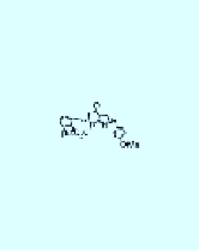 CCOC(=O)Cn1c(CCc2cccc(F)c2F)cc(=O)c2cn(Cc3ccc(OC)cc3)nc21